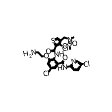 CN(Cc1csc(C(=O)Nc2c(OCCN)cc(Cl)cc2C(=O)Nc2ccc(Cl)cn2)c1Cl)S(C)(=O)=O